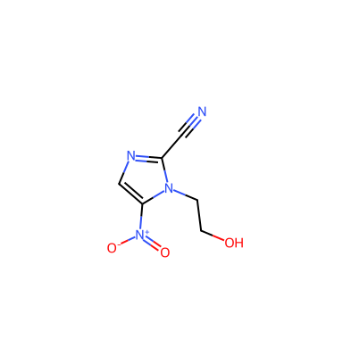 N#Cc1ncc([N+](=O)[O-])n1CCO